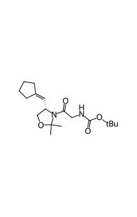 CC(C)(C)OC(=O)NCC(=O)N1[C@@H](C=C2CCCC2)COC1(C)C